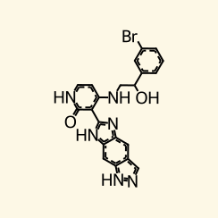 O=c1[nH]ccc(NCC(O)c2cccc(Br)c2)c1-c1nc2cc3cn[nH]c3cc2[nH]1